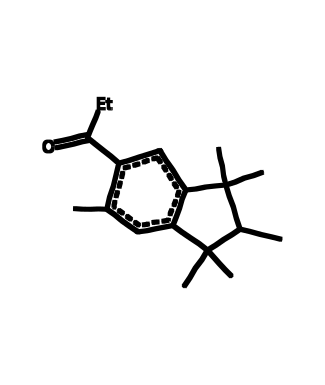 CCC(=O)c1cc2c(cc1C)C(C)(C)C(C)C2(C)C